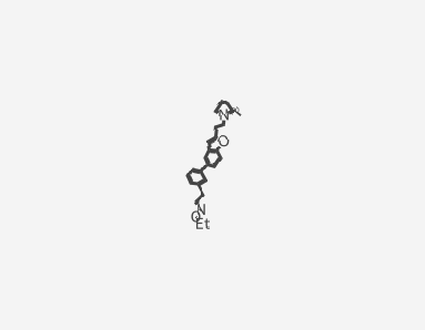 CCON=CCc1cccc(-c2ccc3oc(CCN4CCC[C@H]4C)cc3c2)c1